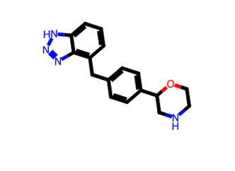 c1cc(Cc2ccc(C3CNCCO3)cc2)c2nn[nH]c2c1